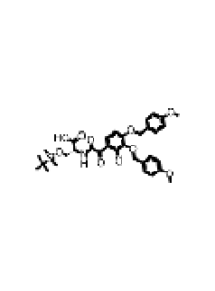 COc1ccc(COc2ccc(C(=O)C(=O)N[C@H](CO[Si](C)(C)C(C)(C)C)C(=O)O)c(Cl)c2OCc2ccc(OC)cc2)cc1